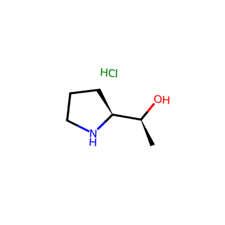 C[C@H](O)[C@@H]1CCCN1.Cl